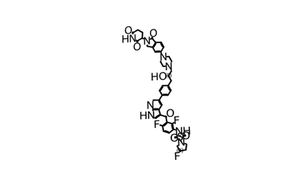 O=C1CCC(N2Cc3cc(N4CCN(C[C@@H](O)Cc5ccc(-c6cnc7[nH]cc(C(=O)c8c(F)ccc(NS(=O)(=O)N9CC[C@@H](F)C9)c8F)c7c6)cc5)CC4)ccc3C2=O)C(=O)N1